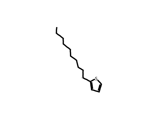 CCCCCCCCC[CH]c1cccs1